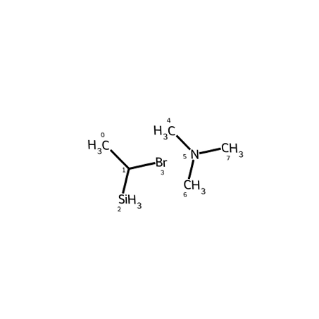 CC([SiH3])Br.CN(C)C